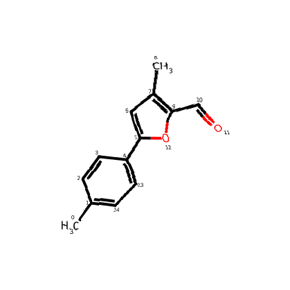 Cc1ccc(-c2cc(C)c(C=O)o2)cc1